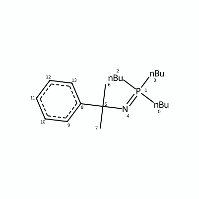 CCCCP(CCCC)(CCCC)=NC(C)(C)c1ccccc1